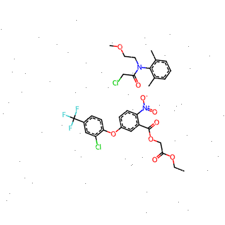 CCOC(=O)COC(=O)c1cc(Oc2ccc(C(F)(F)F)cc2Cl)ccc1[N+](=O)[O-].COCCN(C(=O)CCl)c1c(C)cccc1C